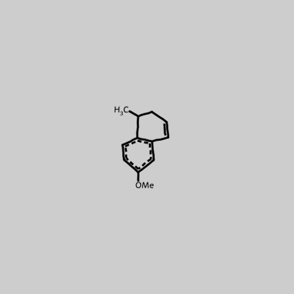 COc1ccc2c(c1)C=CCC2C